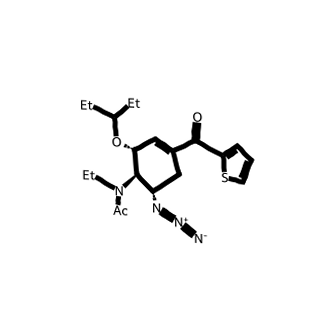 CCC(CC)O[C@@H]1C=C(C(=O)c2cccs2)C[C@H](N=[N+]=[N-])[C@H]1N(CC)C(C)=O